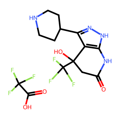 O=C(O)C(F)(F)F.O=C1CC(O)(C(F)(F)F)c2c(C3CCNCC3)n[nH]c2N1